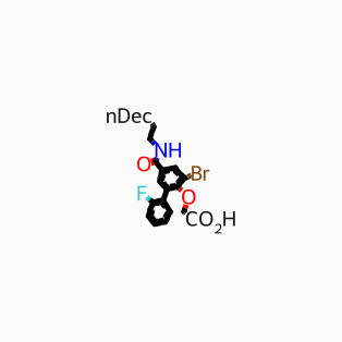 CCCCCCCCCCCCNC(=O)c1cc(Br)c(OCC(=O)O)c(-c2ccccc2F)c1